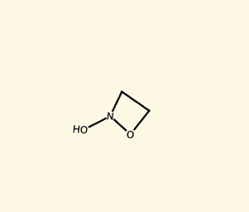 ON1CCO1